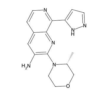 C[C@@H]1COCCN1c1nc2c(-c3ccn[nH]3)nccc2cc1N